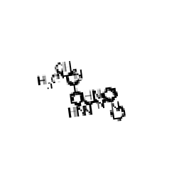 CN(C)c1cncc(-c2ccc3[nH]nc(-c4nc5c(N6CCCCC6)cccc5[nH]4)c3c2)c1